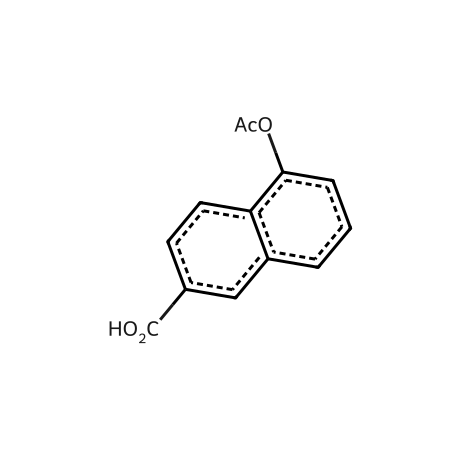 CC(=O)Oc1cccc2cc(C(=O)O)ccc12